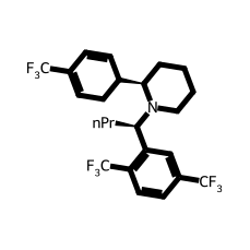 CCC[C@H](c1cc(C(F)(F)F)ccc1C(F)(F)F)N1CCCC[C@@H]1C1C=CC(C(F)(F)F)=CC1